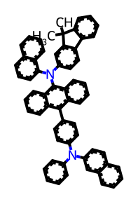 CC1(C)c2ccccc2-c2ccc(N(c3cccc4ccccc34)c3c4ccccc4c(-c4ccc(N(c5ccccc5)c5ccc6ccccc6c5)cc4)c4ccccc34)cc21